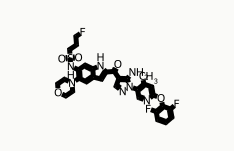 Cc1cc(Oc2c(F)cccc2F)ncc1-n1ncc(C(=O)c2cc3cc(N4CCOCC4)c(NS(=O)(=O)CCCF)cc3[nH]2)c1N